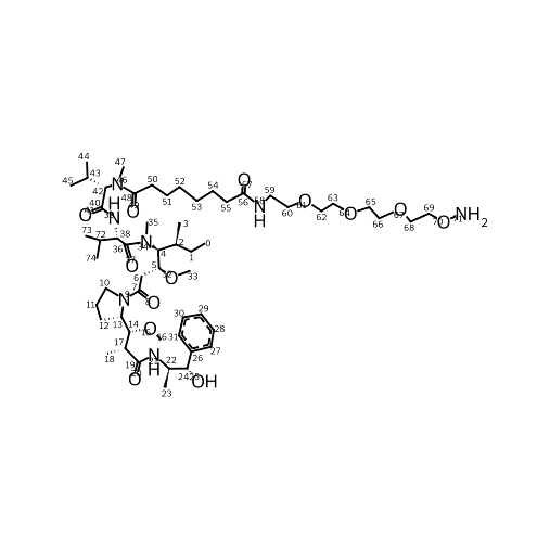 CC[C@H](C)[C@@H]([C@@H](CC(=O)N1CCC[C@H]1[C@H](OC)[C@@H](C)C(=O)N[C@H](C)[C@@H](O)c1ccccc1)OC)N(C)C(=O)[C@@H](NC(=O)[C@H](C(C)C)N(C)C(=O)CCCCCCC(=O)NCCOCCOCCOCCON)C(C)C